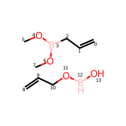 C=CCB(OC)OC.C=CCOBO